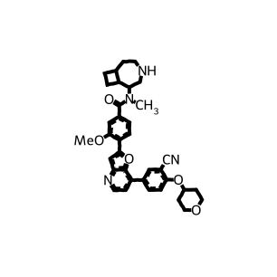 COc1cc(C(=O)N(C)C2CNCCC3CCC32)ccc1-c1cc2nccc(-c3ccc(OC4CCOCC4)c(C#N)c3)c2o1